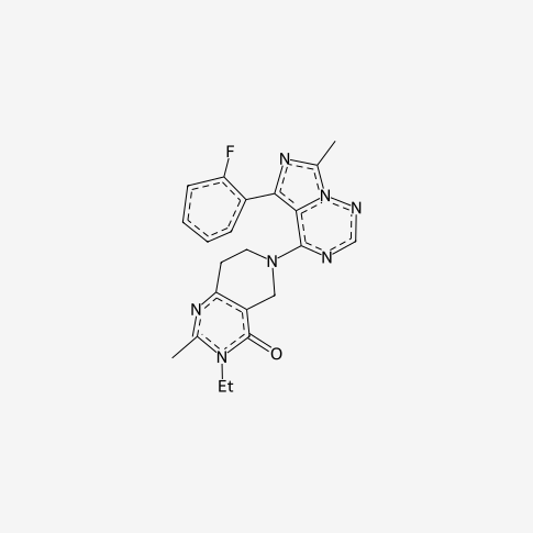 CCn1c(C)nc2c(c1=O)CN(c1ncnn3c(C)nc(-c4ccccc4F)c13)CC2